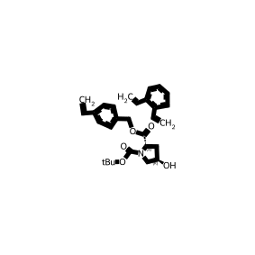 C=Cc1ccc(COC(=O)[C@@H]2C[C@@H](O)CN2C(=O)OC(C)(C)C)cc1.C=Cc1ccccc1C=C